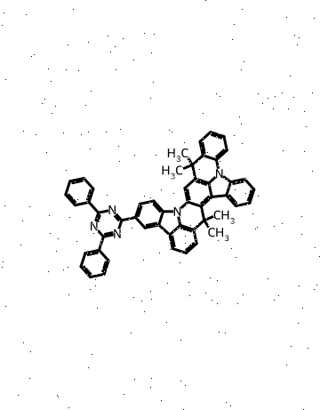 CC1(C)c2c(cc3c4c2c2ccccc2n4-c2ccccc2C3(C)C)-n2c3ccc(-c4nc(-c5ccccc5)nc(-c5ccccc5)n4)cc3c3cccc1c32